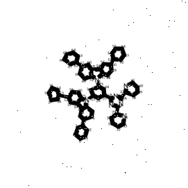 c1ccc(-c2ccc3c(c2)c2cc(-c4ccccc4)ccc2n3-c2cc(-c3nc(-c4ccccn4)nc(-c4ccccn4)n3)cc(-n3c4ccc(-c5ccccc5)cc4c4cc(-c5ccccc5)ccc43)c2)cc1